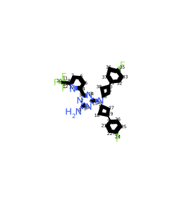 Nc1nc(-c2cccc(C(F)(F)F)n2)nc(N([C@H]2C[C@H](c3ccc(F)cc3)C2)[C@H]2C[C@H](c3ccc(F)cc3)C2)n1